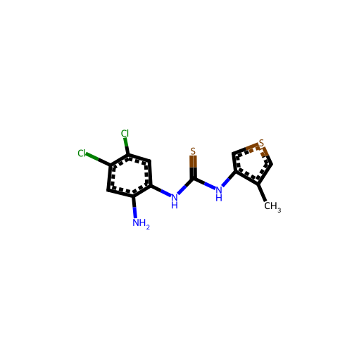 Cc1cscc1NC(=S)Nc1cc(Cl)c(Cl)cc1N